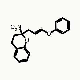 O=[N+]([O-])C1(CC=COc2ccccc2)CCc2ccccc2O1